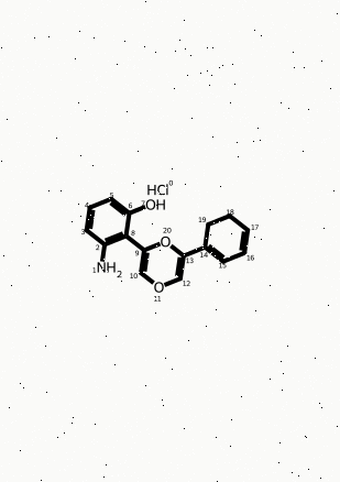 Cl.Nc1cccc(O)c1C1=COC=C(C2=CC=CCC2)O1